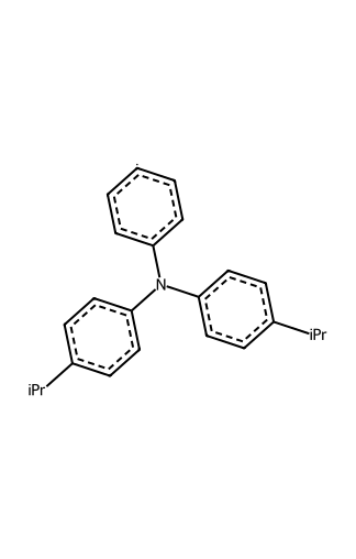 CC(C)c1ccc(N(c2cc[c]cc2)c2ccc(C(C)C)cc2)cc1